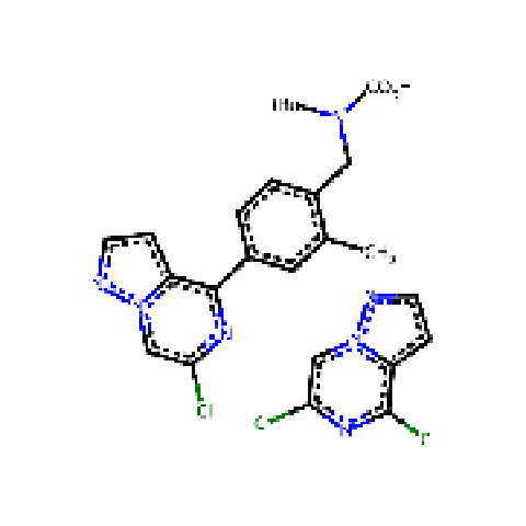 Cc1cc(-c2nc(Cl)cn3nccc23)ccc1CN(C(=O)O)C(C)(C)C.Clc1cn2nccc2c(Cl)n1